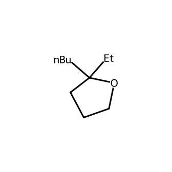 CCCCC1(CC)CCCO1